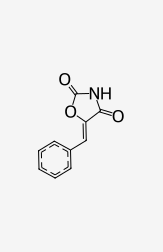 O=C1NC(=O)/C(=C/c2ccccc2)O1